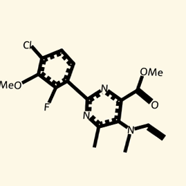 C=CN(C)c1c(C)nc(-c2ccc(Cl)c(OC)c2F)nc1C(=O)OC